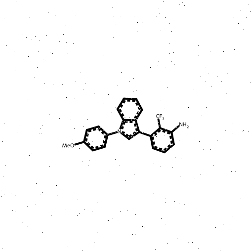 COc1ccc(-n2cc(-c3cccc(N)c3C(F)(F)F)c3ccccc32)cc1